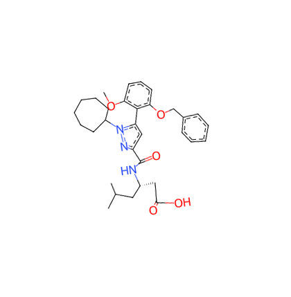 COc1cccc(OCc2ccccc2)c1-c1cc(C(=O)N[C@H](CC(=O)O)CC(C)C)nn1C1CCCCCC1